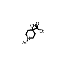 CCC(=O)C1(C)CCN(C(C)=O)CC1